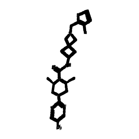 Cc1ccsc1CN1CC2(CC(NC(=O)N3[C@H](C)CN(c4ncc(C(F)(F)F)cn4)C[C@@H]3C)C2)C1